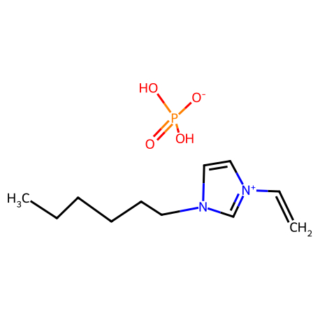 C=C[n+]1ccn(CCCCCC)c1.O=P([O-])(O)O